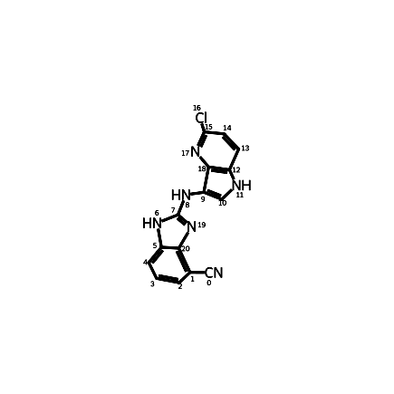 N#Cc1cccc2[nH]c(Nc3c[nH]c4ccc(Cl)nc34)nc12